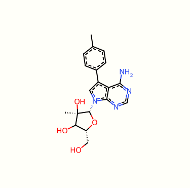 Cc1ccc(-c2cn([C@@H]3O[C@H](CO)C(O)[C@@]3(C)O)c3ncnc(N)c23)cc1